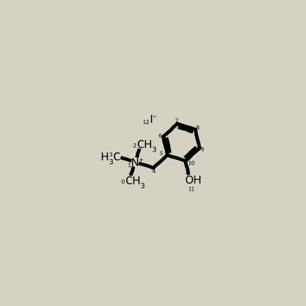 C[N+](C)(C)Cc1ccccc1O.[I-]